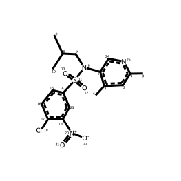 Cc1cc(C)c(N(CC(C)C)S(=O)(=O)c2ccc(Cl)c([N+](=O)[O-])c2)cn1